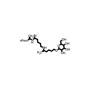 C=C(CCCCOC1OC(CO)C(O)C(O)C1O)NCCCCC(NC(=C)CCCCC)C(C)=O